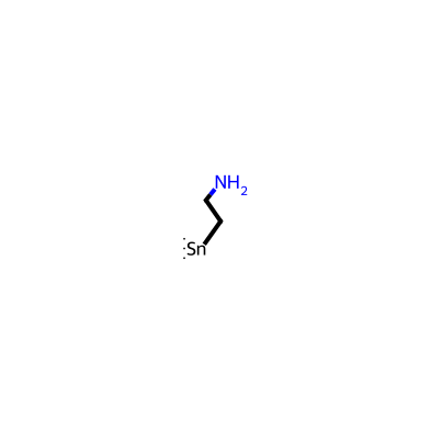 NC[CH2][Sn]